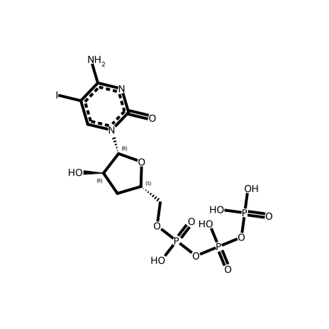 Nc1nc(=O)n([C@@H]2O[C@H](COP(=O)(O)OP(=O)(O)OP(=O)(O)O)C[C@H]2O)cc1I